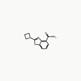 NC(=O)c1[c]ccc2oc(N3CCC3)nc12